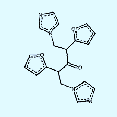 O=C(C(Cn1ccnc1)c1ccco1)C(Cn1ccnc1)c1ccco1